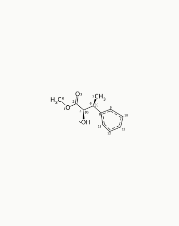 COC(=O)[C@H](O)[C@@H](C)c1ccccc1